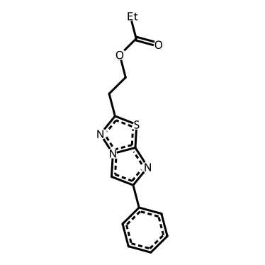 [CH2]CC(=O)OCCc1nn2cc(-c3ccccc3)nc2s1